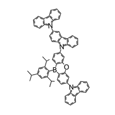 CC(C)c1cc(C(C)C)c(B2c3ccc(-n4c5ccccc5c5ccccc54)cc3Oc3cc(-n4c5ccccc5c5cc(-n6c7ccccc7c7ccccc76)ccc54)ccc32)c(C(C)C)c1